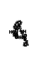 O=C(/C=C/CNCCCCN1c2ccccc2CCc2ccc(Cl)cc21)NOCCc1ccccc1.O=C(O)/C=C\C(=O)O